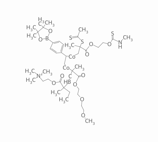 CCC(C)(BC[C](C)([Co][CH2][CH]([Co][CH2]C(C)(SC(C)=S)C(=O)OCCOC(=S)NC)c1ccc(B2OC(C)(C)C(C)(C)O2)cc1)C(=O)OCCOCCOC)C(=O)OCC[N+](C)(C)C